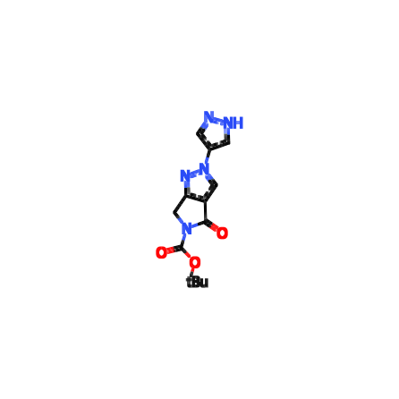 CC(C)(C)OC(=O)N1Cc2nn(-c3cn[nH]c3)cc2C1=O